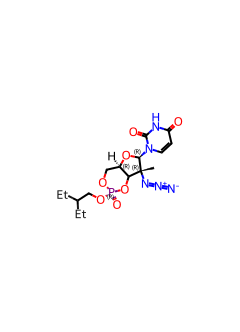 CCC(CC)CO[P@]1(=O)OC[C@H]2O[C@@H](n3ccc(=O)[nH]c3=O)[C@](C)(N=[N+]=[N-])C2O1